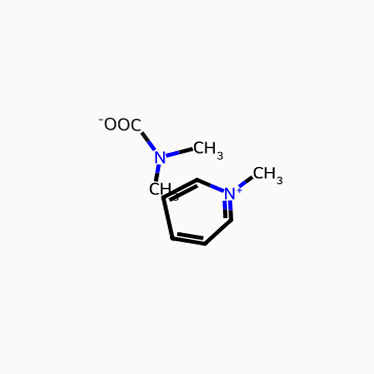 CN(C)C(=O)[O-].C[n+]1ccccc1